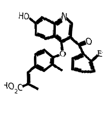 CCc1ccccc1C(=O)c1cnc2cc(O)ccc2c1Oc1ccc(/C=C(\C)C(=O)O)cc1C